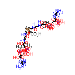 CC(=O)[SH](CCNC(=O)CCNC(=O)C(O)C(C)(C)COP(=O)(O)OP(=O)(O)OC[C@H]1O[C@@H](n2cnc3c(N)ncnc32)[C@H](O)[C@@H]1OP(=O)(O)O)[SH](CCNC(=O)CCNC(=O)C(O)C(C)(C)COP(=O)(O)OP(=O)(O)OC[C@H]1O[C@@H](n2cnc3c(N)ncnc32)[C@H](O)[C@@H]1OP(=O)(O)O)C(=O)CC(=O)O